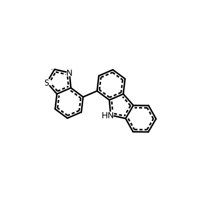 [c]1nc2c(-c3cccc4c3[nH]c3ccccc34)cccc2s1